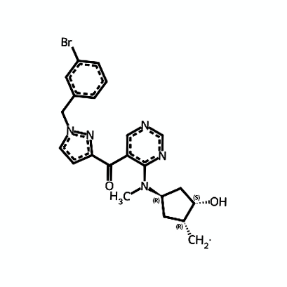 [CH2][C@@H]1C[C@@H](N(C)c2ncncc2C(=O)c2ccn(Cc3cccc(Br)c3)n2)C[C@@H]1O